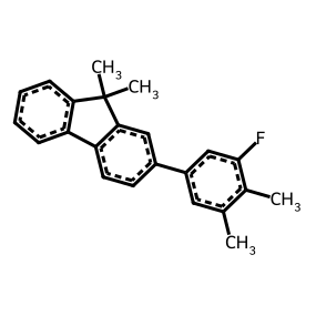 Cc1cc(-c2ccc3c(c2)C(C)(C)c2ccccc2-3)cc(F)c1C